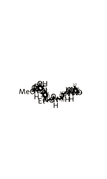 CCN(CCOC(=O)NCCC(C)(C)CC(C)CNC(=O)Nc1nc(=O)cc(C)[nH]1)c1ccc(/N=C2\C=C(NC(=O)OC)C(=O)C(O)=C2C)c(C)c1